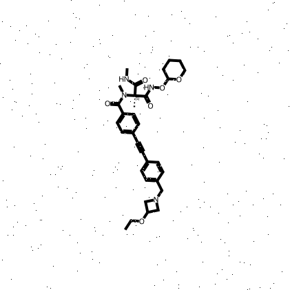 CCOC1CN(Cc2ccc(C#Cc3ccc(C(=O)N(C)[C@@](C)(C(=O)NC)C(=O)NOC4CCCCO4)cc3)cc2)C1